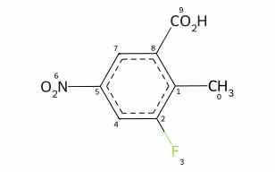 Cc1c(F)cc([N+](=O)[O-])cc1C(=O)O